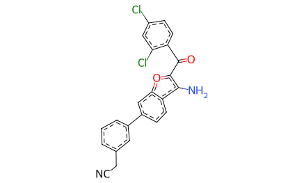 N#CCc1cccc(-c2ccc3c(N)c(C(=O)c4ccc(Cl)cc4Cl)oc3c2)c1